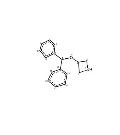 c1ccc(C(OC2CNC2)c2ccccc2)cc1